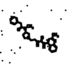 Cc1cc(NC(=O)NCCN2CCC(N(C)C(=O)Cc3ccccc3)C2)c2ccccc2n1